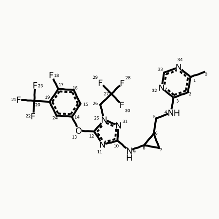 Cc1cc(NCC2CC2Nc2nc(Oc3ccc(F)c(C(F)(F)F)c3)n(CC(F)(F)F)n2)ncn1